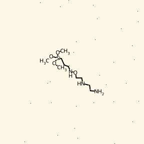 CO[Si](CCCNOCCNCCN)(OC)OC